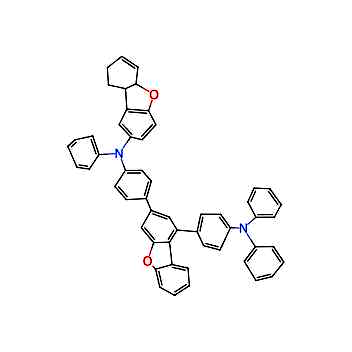 C1=CC2Oc3ccc(N(c4ccccc4)c4ccc(-c5cc(-c6ccc(N(c7ccccc7)c7ccccc7)cc6)c6c(c5)oc5ccccc56)cc4)cc3C2CC1